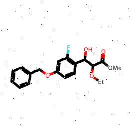 CCOC(C(=O)OC)C(O)c1ccc(OCc2ccccc2)cc1F